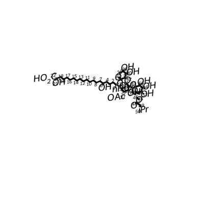 CCCCCC[C@H](CCC[C@@H](O)CCCCCCCCCCCCC[C@@H](O)C(=O)O)O[C@H]1OC[C@H](O)[C@@H](O)[C@@H]1O[C@H]1OC[C@H](OC(C)=O)[C@@H](O)[C@@H]1O[C@H]1O[C@@H](COC(=O)CC(C)C)[C@H](O)[C@@H](O)[C@@H]1O